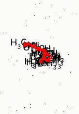 CCC1OC(=O)[C@H](C)[C@H](OC2C[C@@](C)(OC)[C@@H](O)[C@H](C)O2)[C@H](C)[C@@H](OC2O[C@H](C)C[C@H](N(C)Cc3ccc(-c4cn(CCc5ccc(-n6cc(C)ccc6=O)cc5)nn4)cc3)[C@H]2O)[C@@](C)(OC)C[C@@H](C)C(=O)[C@H](C)[C@@H](O)[C@]1(C)O